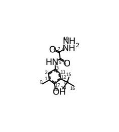 Cc1cc(NC(=O)C(=O)NN)cc(C(C)(C)C)c1O